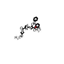 COC1CN(C(=O)c2csc(N3CC(C(C)(C)C)C3O[SiH](c3ccccc3)c3ccccc3)n2)C1